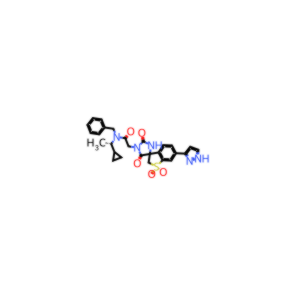 C[C@@H](C1CC1)N(Cc1ccccc1)C(=O)CN1C(=O)NC2(CS(=O)(=O)c3cc(-c4cc[nH]n4)ccc32)C1=O